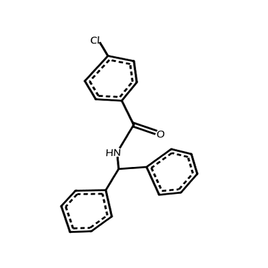 O=C(NC(c1ccccc1)c1ccccc1)c1ccc(Cl)cc1